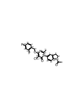 CC(=O)N1CCc2cc(-n3c(C)nc(OCc4ccc(F)cc4F)c(Cl)c3=O)ccc21